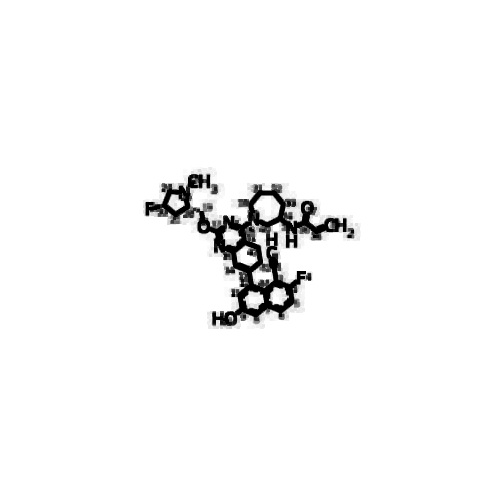 C#Cc1c(F)ccc2cc(O)cc(C3=Cc4nc(OC[C@@H]5C[C@@H](F)CN5C)nc(N5CCCCC(NC(=O)C=C)C5)c4CC3)c12